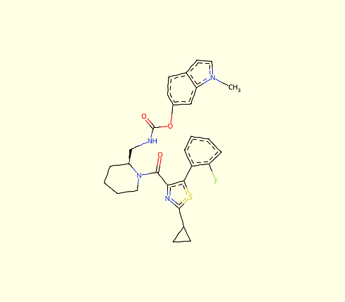 Cn1ccc2ccc(OC(=O)NC[C@@H]3CCCCN3C(=O)c3nc(C4CC4)sc3-c3ccccc3F)cc21